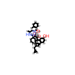 C=C(NC[C@]12CCC[C@@]3(C1)[C@@H]1C(CC4CC4)CC14Cc1ccc(O)c5c1[C@@]3(C4)[C@@H](O5)C2OC)[C@H](Cc1ccccc1)NC=O